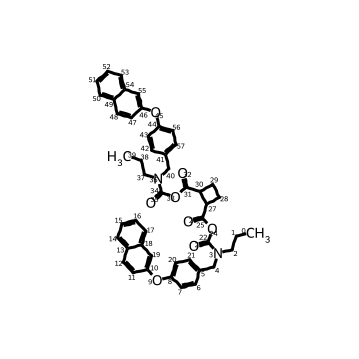 CCCN(Cc1ccc(Oc2ccc3ccccc3c2)cc1)C(=O)OC(=O)C1CCC1C(=O)OC(=O)N(CCC)Cc1ccc(Oc2ccc3ccccc3c2)cc1